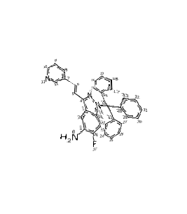 Nc1cc2c(C=Cc3cccnc3)nn(C(c3ccccc3)(c3ccccc3)c3ccccc3)c2cc1F